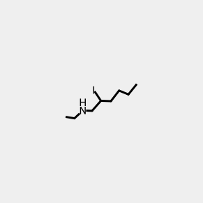 CCCCC(I)CNCC